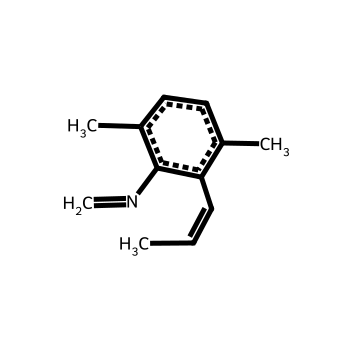 C=Nc1c(C)ccc(C)c1/C=C\C